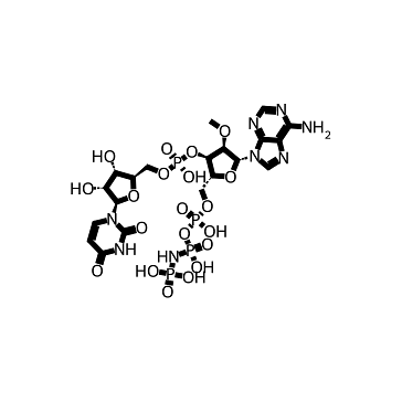 CO[C@@H]1[C@H](OP(=O)(O)OC[C@H]2O[C@@H](n3ccc(=O)[nH]c3=O)[C@H](O)[C@@H]2O)[C@@H](COP(=O)(O)OP(=O)(O)NP(=O)(O)O)O[C@H]1n1cnc2c(N)ncnc21